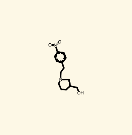 O=[N+]([O-])c1ccc(CCN2CCCC(CO)C2)cc1